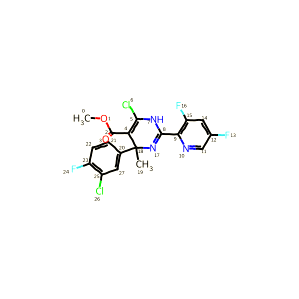 COC(=O)C1=C(Cl)NC(c2ncc(F)cc2F)=NC1(C)c1ccc(F)c(Cl)c1